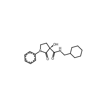 O=C(NCC1CCCCC1)[C@@]1(O)CCN(c2ccccc2)C1=O